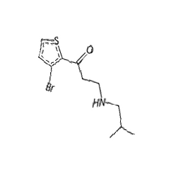 CC(C)CNCCC(=O)c1sccc1Br